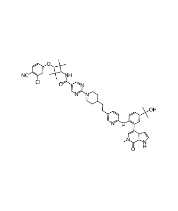 Cn1cc(-c2cc(C(C)(C)O)ccc2Oc2ccc(CCC3CCN(c4ncc(C(=O)NC5C(C)(C)C(Oc6ccc(C#N)c(Cl)c6)C5(C)C)cn4)CC3)cn2)c2cc[nH]c2c1=O